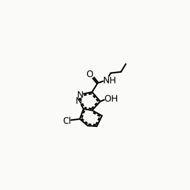 CCCNC(=O)c1nnc2c(Cl)cccc2c1O